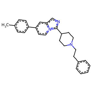 Cc1ccc(-c2ccn3c(C4CCN(CCc5ccccc5)CC4)ncc3c2)cc1